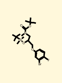 CN(CC(COc1ccc(F)c(Br)c1)O[Si](C)(C)C(C)(C)C)C(=O)OC(C)(C)C